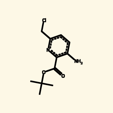 CC(C)(C)OC(=O)c1nc(CCl)ccc1N